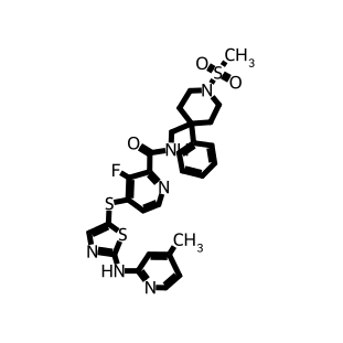 Cc1ccnc(Nc2ncc(Sc3ccnc(C(=O)NCC4(c5ccccc5)CCN(S(C)(=O)=O)CC4)c3F)s2)c1